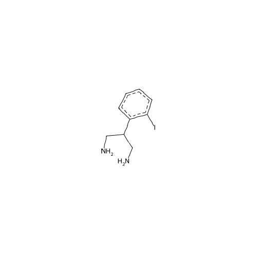 NCC(CN)c1ccccc1I